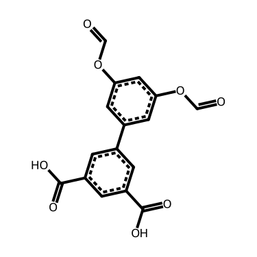 O=COc1cc(OC=O)cc(-c2cc(C(=O)O)cc(C(=O)O)c2)c1